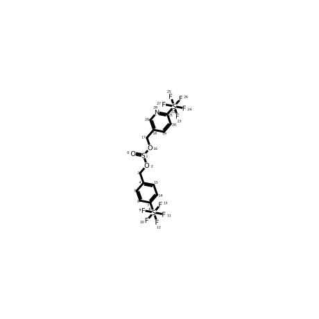 O=S(OCc1ccc(S(F)(F)(F)(F)F)cc1)OCc1ccc(S(F)(F)(F)(F)F)nc1